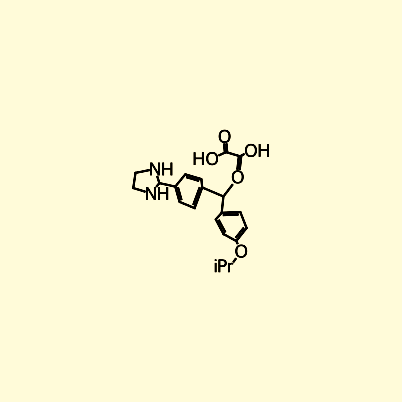 CC(C)Oc1ccc(C(C)c2ccc(C3NCCN3)cc2)cc1.O=C(O)C(=O)O